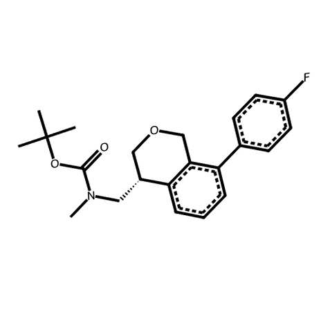 CN(C[C@@H]1COCc2c(-c3ccc(F)cc3)cccc21)C(=O)OC(C)(C)C